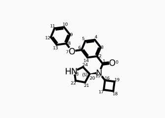 O=C(c1cccc(Oc2ccccc2)c1)N(C1CCC1)[C@H]1CCNC1